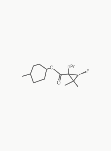 CCCC1(C(=O)OC2CCC(C)CC2)[C@@H](F)C1(C)C